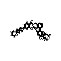 O=C(O)c1cc(F)c(-c2cccc3c2OCN(C(=O)c2c(Cl)cc(N4CC5(C4)CC4(C5)OCCCO4)cc2Cl)C3)cc1N1C2CCC1COC2